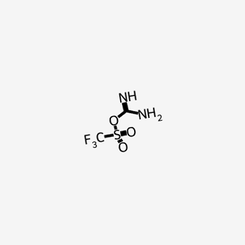 N=C(N)OS(=O)(=O)C(F)(F)F